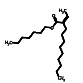 CC=C(CCCCCCCCC)C(=O)OCCCCCCC